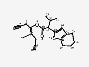 C#CCC(C)=C(CC#C)OC(=O)C(c1cc2c(s1)CCCC2)C(C)C